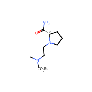 CCOC(=O)N(C)CCN1CCC[C@H]1C(N)=O